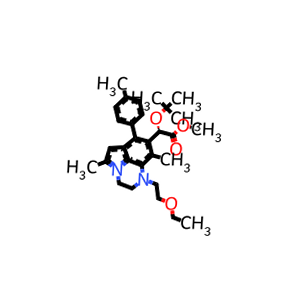 CCOCCN1CCn2c(C)cc3c(-c4ccc(C)cc4)c([C@H](OC(C)(C)C)C(=O)OC)c(C)c1c32